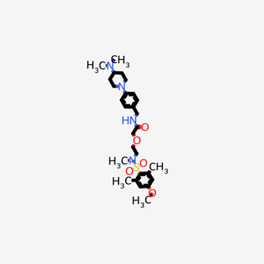 COc1cc(C)c(S(=O)(=O)N(C)CCOCC(=O)NCc2ccc(N3CCC(N(C)C)CC3)cc2)c(C)c1